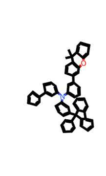 CC1(C)c2ccccc2Oc2cc(-c3cccc(N(c4cccc(-c5ccccc5)c4)c4cccc(C5(c6ccccc6)c6ccccc6-c6ccccc65)c4)c3)ccc21